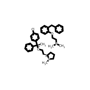 CN(C)CCOc1ccccc1Cc1ccccc1.CN1CCC[C@@H]1CCO[C@](C)(c1ccccc1)c1ccc(Cl)cc1